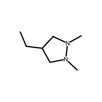 CCC1CN(C)N(C)C1